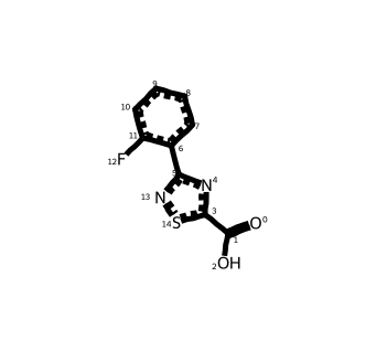 O=C(O)c1nc(-c2ccccc2F)ns1